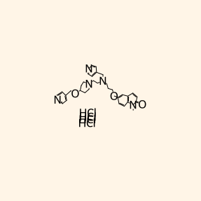 Cl.Cl.Cl.Cl.Cn1c(=O)ccc2cc(OCCCN(CCN3CCC(OCc4ccncc4)CC3)Cc3ccncc3)ccc21